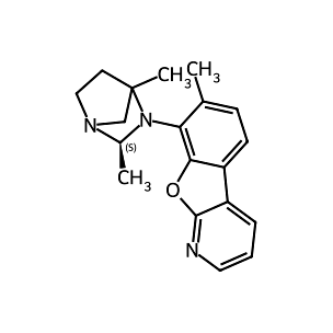 Cc1ccc2c(oc3ncccc32)c1N1[C@@H](C)N2CCC1(C)C2